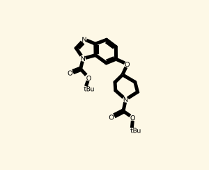 CC(C)(C)OC(=O)N1CCC(Oc2ccc3ncn(C(=O)OC(C)(C)C)c3c2)CC1